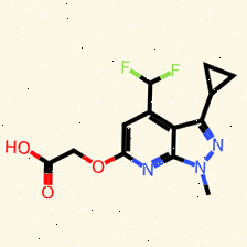 Cn1nc(C2CC2)c2c(C(F)F)cc(OCC(=O)O)nc21